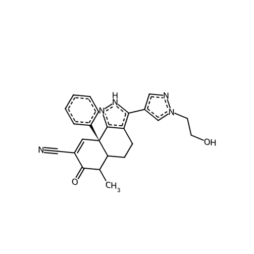 CC1C(=O)C(C#N)=C[C@]2(c3ccccc3)c3n[nH]c(-c4cnn(CCO)c4)c3CCC12